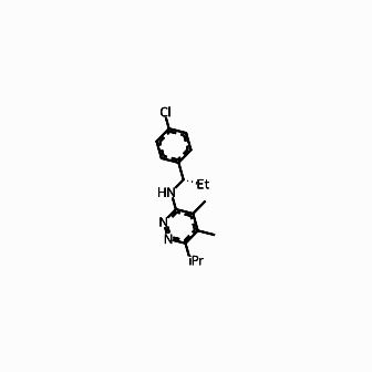 CC[C@H](Nc1nnc(C(C)C)c(C)c1C)c1ccc(Cl)cc1